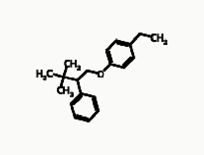 CCc1ccc(OCC(c2ccccc2)C(C)(C)C)cc1